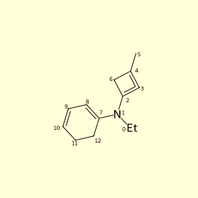 CCN(C1=C=C(C)C1)C1=CC=CCC1